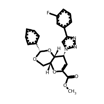 COC(=O)C1=C[C@@H](n2cc(-c3cccc(F)c3)nn2)[C@H]2O[C@@H](c3ccccc3)OC[C@H]2O1